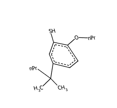 CCCOc1ccc(C(C)(C)CCC)cc1S